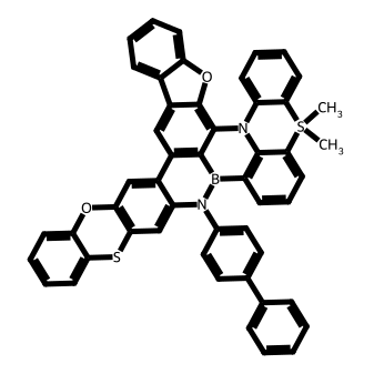 CS1(C)c2ccccc2N2c3c(cccc31)B1c3c(cc4c(oc5ccccc54)c32)-c2cc3c(cc2N1c1ccc(-c2ccccc2)cc1)Sc1ccccc1O3